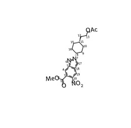 COC(=O)c1cc2nn([C@H]3CC[C@H](CCOC(C)=O)CC3)cc2cc1[N+](=O)[O-]